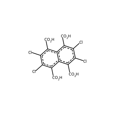 O=C(O)c1c(Cl)c(Cl)c(C(=O)O)c2c(C(=O)O)c(Cl)c(Cl)c(C(=O)O)c12